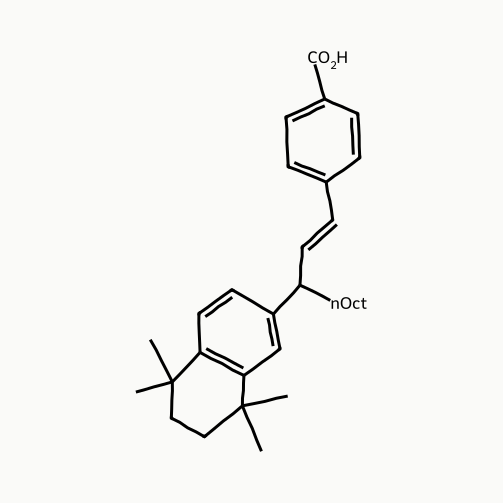 CCCCCCCCC(C=Cc1ccc(C(=O)O)cc1)c1ccc2c(c1)C(C)(C)CCC2(C)C